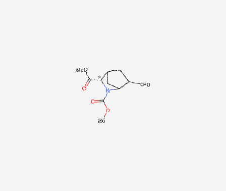 COC(=O)[C@@H]1C2CC(C=O)C(C2)N1C(=O)OC(C)(C)C